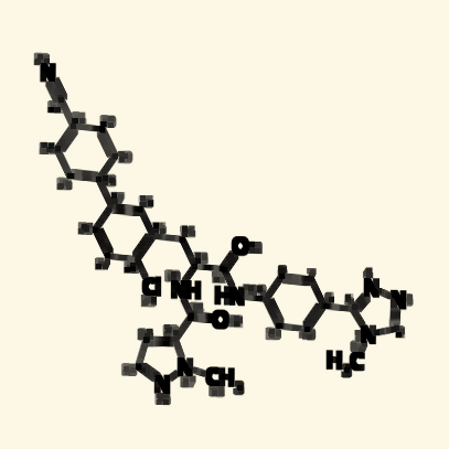 Cn1cnnc1-c1ccc(NC(=O)C(Cc2cc(-c3ccc(C#N)cc3)ccc2Cl)NC(=O)c2ccnn2C)cc1